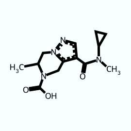 CC1Cn2ncc(C(=O)N(C)C3CC3)c2CN1C(=O)O